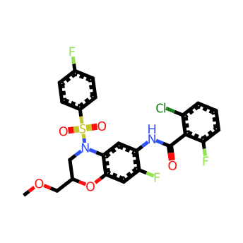 COCC1CN(S(=O)(=O)c2ccc(F)cc2)c2cc(NC(=O)c3c(F)cccc3Cl)c(F)cc2O1